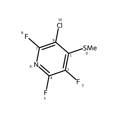 CSc1c(F)c(F)nc(F)c1Cl